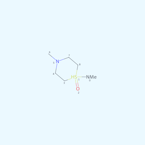 CN[SH]1(=O)CCN(C)CC1